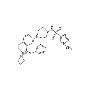 Cn1cnc(S(=O)(=O)NC2CCN(c3ccc4c(c3)[C@@H](Cc3ccccc3)[C@@H](N3CCC3)CC4)CC2)c1